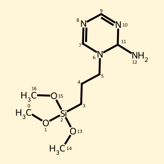 CO[Si](CCCN1C=NC=NC1N)(OC)OC